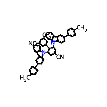 Cc1ccc(-c2ccc3c(c2)c2ccccc2n3-c2cc(C#N)cc(-n3c4ccccc4c4cc(-c5ccc(C)cc5)ccc43)c2-c2cc(C#N)cc(C(F)(F)F)c2)cc1